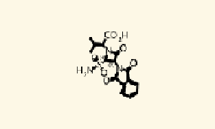 CC(C)=C(C(=O)O)N1C(=O)[C@@H](N2C(=O)c3ccccc3C2=O)[C@H]1S(N)(=O)=O